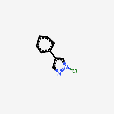 Cln1cc(-c2ccccc2)cn1